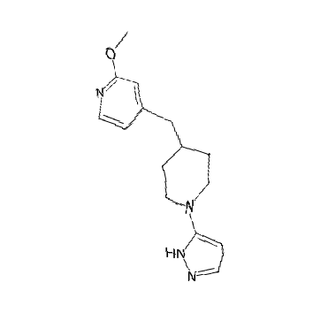 COc1cc(CC2CCN(c3ccn[nH]3)CC2)ccn1